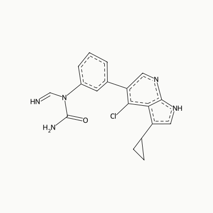 N=CN(C(N)=O)c1cccc(-c2cnc3[nH]cc(C4CC4)c3c2Cl)c1